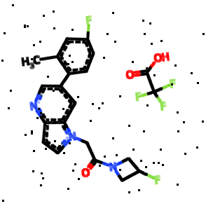 Cc1cc(F)ccc1-c1cnc2ccn(CC(=O)N3CC(F)C3)c2c1.O=C(O)C(F)(F)F